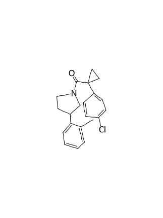 Cc1ccccc1C1CCN(C(=O)C2(c3ccc(Cl)cc3)CC2)C1